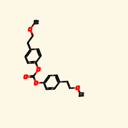 CCOCCc1ccc(OC(=O)Oc2ccc(CCOCC)cc2)cc1